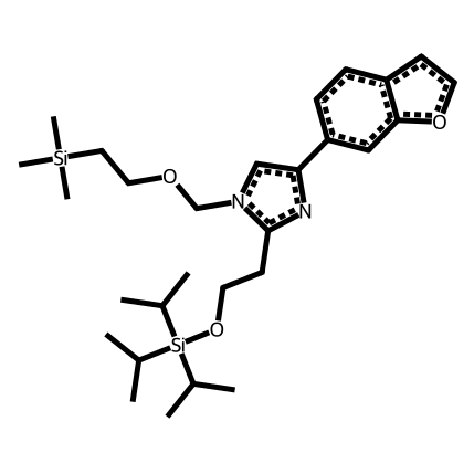 CC(C)[Si](OCCc1nc(-c2ccc3ccoc3c2)cn1COCC[Si](C)(C)C)(C(C)C)C(C)C